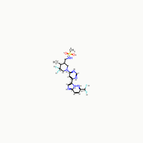 CC1C(CNS(C)(=O)=O)CN(c2cc(-c3cnc4ccc(C(F)F)nn34)ncn2)CC1(F)F